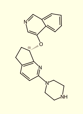 c1ccc2c(O[C@H]3CCc4ccc(N5CCNCC5)nc43)cncc2c1